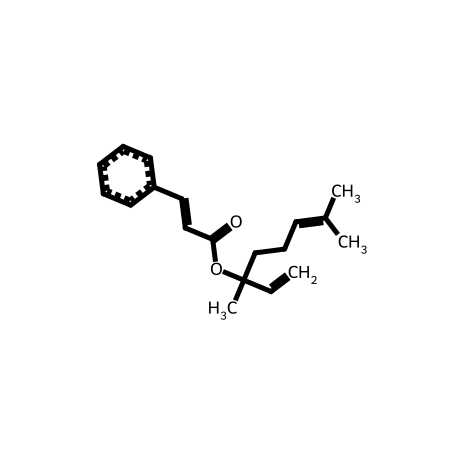 C=CC(C)(CCC=C(C)C)OC(=O)C=Cc1ccccc1